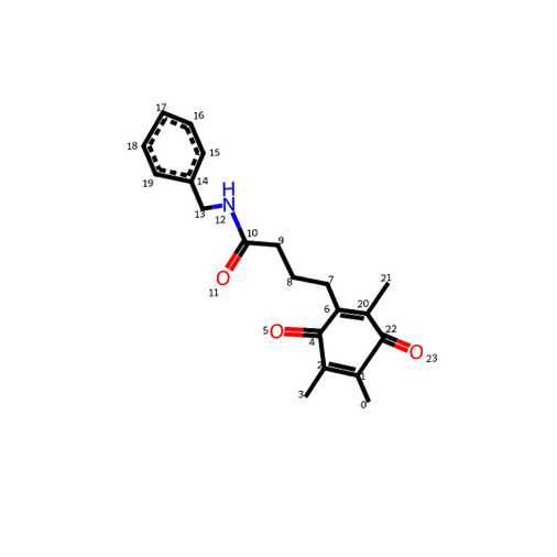 CC1=C(C)C(=O)C(CCCC(=O)NCc2ccccc2)=C(C)C1=O